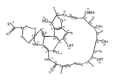 CCC(=O)N1CCC2(CC1)N=C1C(=C3NC(=O)/C(C)=C\C=C\C(C)C(O)C(C)C(O)C(C)C(OC(C)=O)C(C)C(OC)/C=C/OC4(C)Oc5c(C)c(O)c(c1c5C4O)C3=O)N2